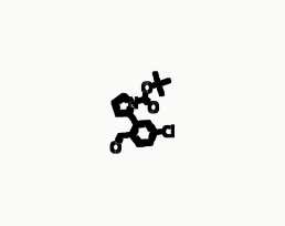 CC(C)(C)OC(=O)n1cccc1-c1cc(Cl)ccc1C=O